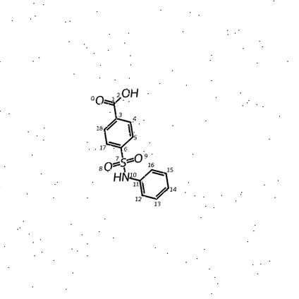 O=C(O)c1ccc(S(=O)(=O)Nc2ccccc2)cc1